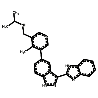 Cc1c(CNC(C)C)cncc1-c1ccc2[nH]nc(-c3nc4ccccc4[nH]3)c2c1